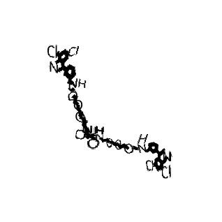 CN1Cc2c(Cl)cc(Cl)cc2C(c2cccc(CNCCOCCOCCOCCNC(=O)C(C)(C)C(=O)NCCOCCOCCOCCNCc3cccc(C4CN(C)Cc5c(Cl)cc(Cl)cc54)c3)c2)C1